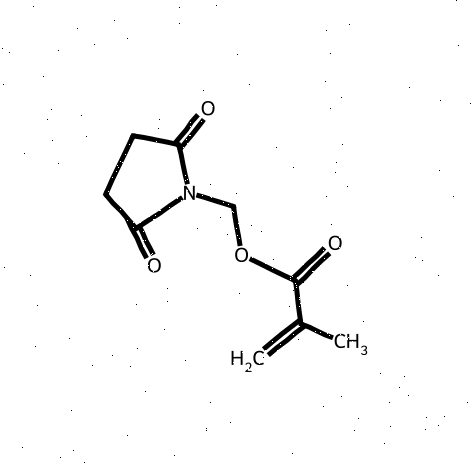 C=C(C)C(=O)OCN1C(=O)CCC1=O